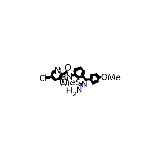 COc1ccc(C(/N=C(/N)SC)c2cccc(NC(=O)c3ncc(Cl)cc3Cl)c2)cc1